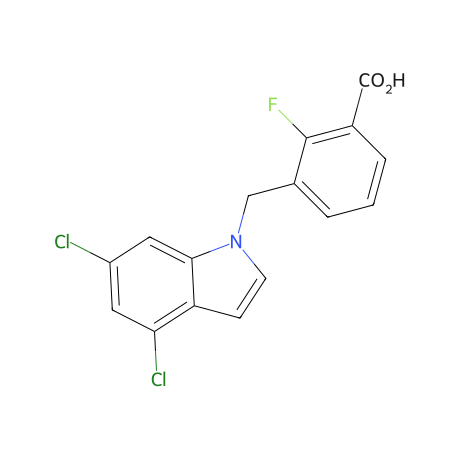 O=C(O)c1cccc(Cn2ccc3c(Cl)cc(Cl)cc32)c1F